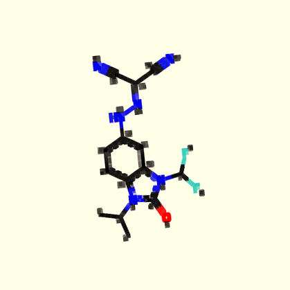 CC(C)n1c(=O)n(C(F)F)c2cc(NN=C(C#N)C#N)ccc21